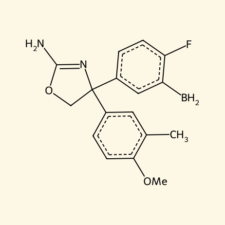 Bc1cc(C2(c3ccc(OC)c(C)c3)COC(N)=N2)ccc1F